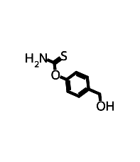 NC(=S)Oc1ccc(CO)cc1